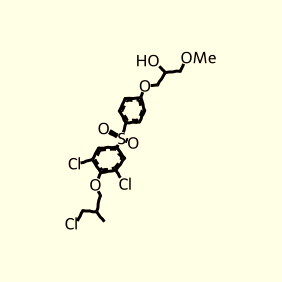 COCC(O)COc1ccc(S(=O)(=O)c2cc(Cl)c(OCC(C)CCl)c(Cl)c2)cc1